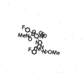 CNC(=O)c1c(-c2ccc(F)cc2)oc2cc(N(C)S(C)(=O)=O)c(-c3ccc4nc(CN5CC(OC)C5)n5c6cccc(F)c6cc5c4n3)cc12